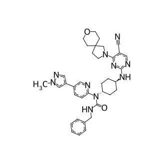 Cn1cc(-c2ccc(N(C(=O)NCc3ccccc3)[C@H]3CC[C@H](Nc4ncc(C#N)c(N5CCC6(CCOCC6)C5)n4)CC3)nc2)cn1